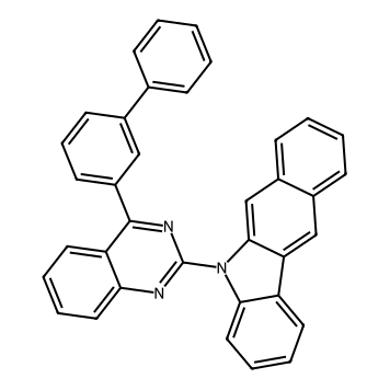 c1ccc(-c2cccc(-c3nc(-n4c5ccccc5c5cc6ccccc6cc54)nc4ccccc34)c2)cc1